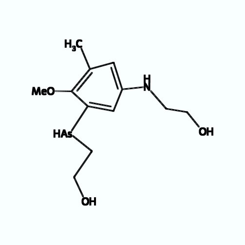 COc1c(C)cc(NCCO)cc1[AsH]CCO